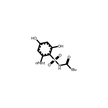 CCCCCc1cc(O)cc(O)c1S(=O)(=O)NC(=O)C(C)(C)C